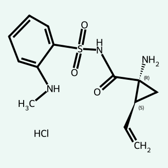 C=C[C@@H]1C[C@]1(N)C(=O)NS(=O)(=O)c1ccccc1NC.Cl